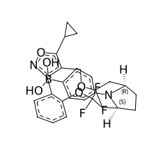 OB(O)c1ccc(N2[C@@H]3CC[C@H]2CC(OCc2c(-c4ccccc4OC(F)(F)F)noc2C2CC2)C3)cc1